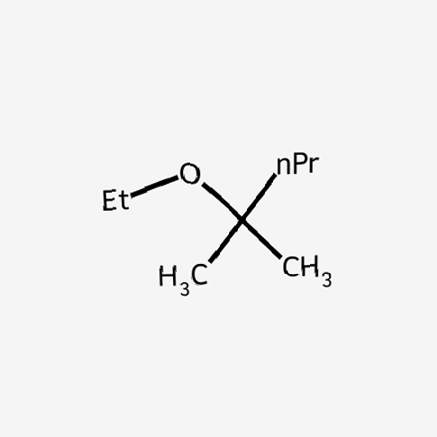 [CH2]COC(C)(C)CCC